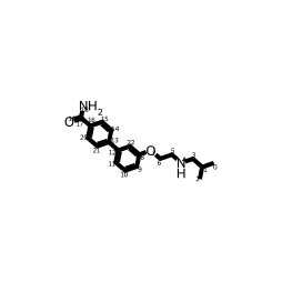 CC(C)CNCCOc1cccc(-c2ccc(C(N)=O)cc2)c1